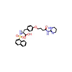 O=C(CCCOc1ccc(C[C@H](NS(=O)(=O)c2cccc3ccccc23)C(=O)O)cc1)NC1=NCCCN1